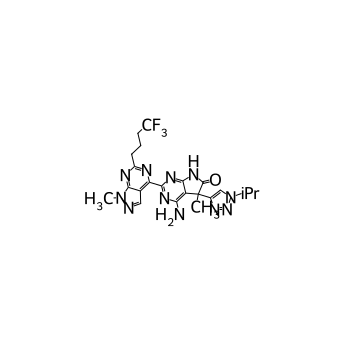 CC(C)n1cc(C2(C)C(=O)Nc3nc(-c4nc(CCCC(F)(F)F)nc5c4cnn5C)nc(N)c32)nn1